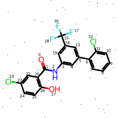 O=C(Nc1cc(-c2ccccc2Cl)cc(C(F)(F)F)c1)c1cc(Cl)ccc1O